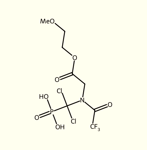 COCCOC(=O)CN(C(=O)C(F)(F)F)C(Cl)(Cl)P(=O)(O)O